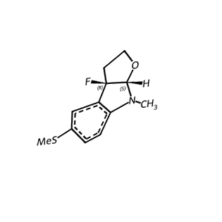 CSc1ccc2c(c1)[C@]1(F)CCO[C@@H]1N2C